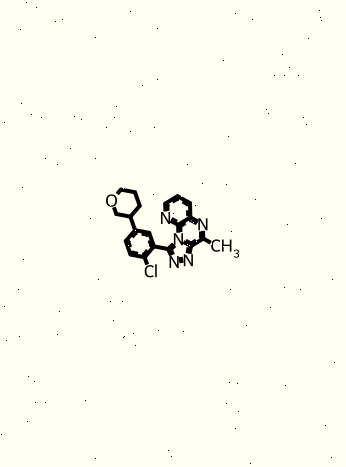 Cc1nc2cccnc2n2c(-c3cc(C4CCCOC4)ccc3Cl)nnc12